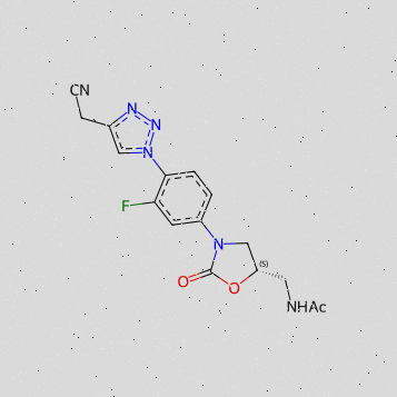 CC(=O)NC[C@H]1CN(c2ccc(-n3cc(CC#N)nn3)c(F)c2)C(=O)O1